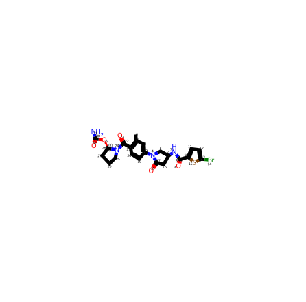 Cc1cc(N2CC(NC(=O)c3ccc(Br)s3)CC2=O)ccc1C(=O)N1CCC[C@H]1OC(N)=O